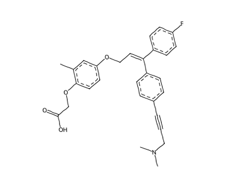 Cc1cc(OC/C=C(/c2ccc(F)cc2)c2ccc(C#CCN(C)C)cc2)ccc1OCC(=O)O